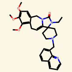 CCN1C(=O)N2Cc3cc(OC)c(OC)c(OC)c3CC=C2C12CCN(Cc1cccc3cccnc13)CC2